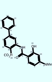 CNc1ccc(C(=O)Nc2cc(-c3ccccc3)ccc2C(=O)O)c(O)c1